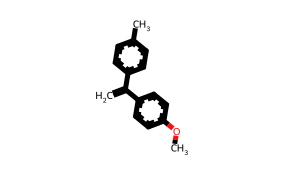 C=C(c1ccc(C)cc1)c1ccc(OC)cc1